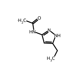 [CH2]C(=O)Nc1cc(CC)[nH]n1